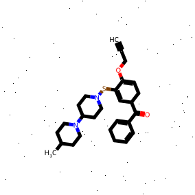 C#CCOC1=CCC(C(=O)C2=CCCC=C2)C=C1SN1CCC(N2CCC(C)CC2)CC1